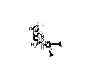 CN1CCN(Cc2ccc(N(C)C(O)Nc3cc(NCC4CC4)c(C#CC4CC4)cn3)nc2C=O)C(=O)C1